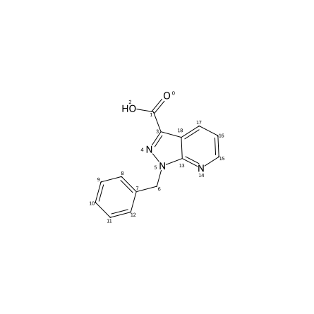 O=C(O)c1nn(Cc2ccccc2)c2ncccc12